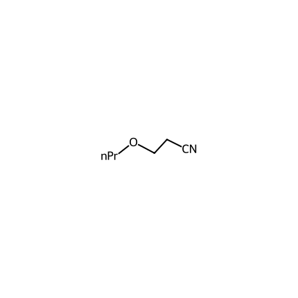 [CH2]CCOCCC#N